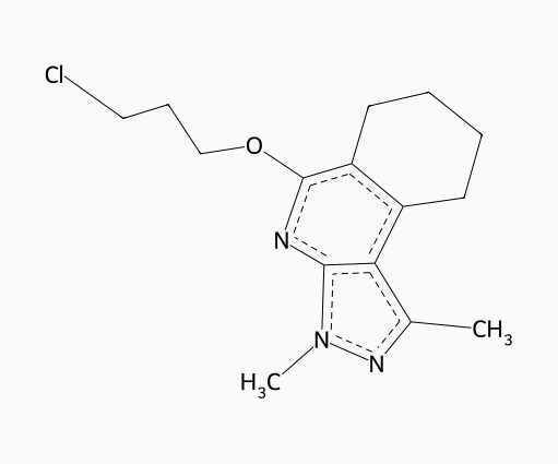 Cc1nn(C)c2nc(OCCCCl)c3c(c12)CCCC3